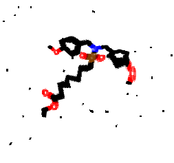 CCOC(=O)CCCCCCCS(=O)(=O)N(Cc1ccc(OC)cc1)Cc1ccc(OC)cc1